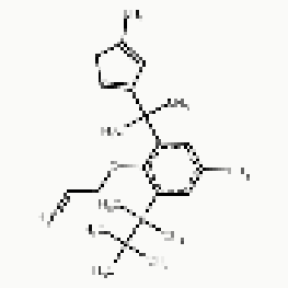 C=CCOc1c(C(C)(C)C2=CCC(C)=C2)cc(C)cc1[Si](C)(C)C(C)(C)C